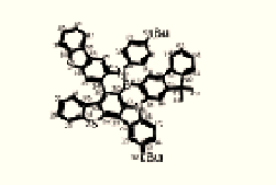 CC(C)(C)c1ccc(N2B3c4cc5c(cc4-n4c6ccc(C(C)(C)C)cc6c6c7sc8ccccc8c7c(c3c64)-c3cc4sc6ccccc6c4cc32)C(C)(C)c2ccccc2-5)cc1